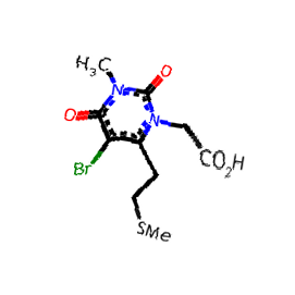 CSCCc1c(Br)c(=O)n(C)c(=O)n1CC(=O)O